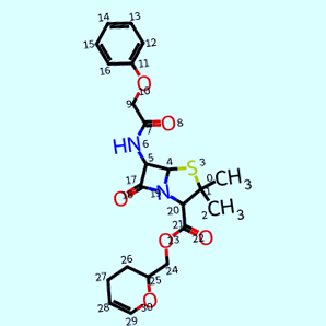 CC1(C)SC2C(NC(=O)COc3ccccc3)C(=O)N2C1C(=O)OCC1CCC=CO1